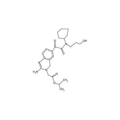 CC(C)OC(=O)CN1Cc2cc(C(=O)C(=O)N(CCCO)C3CCCCC3)ccc2N=C1N